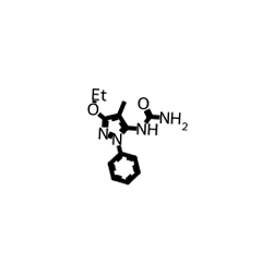 CCOc1nn(-c2ccccc2)c(NC(N)=O)c1C